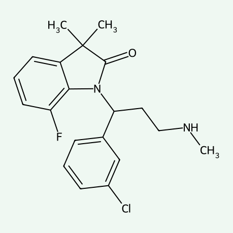 CNCCC(c1cccc(Cl)c1)N1C(=O)C(C)(C)c2cccc(F)c21